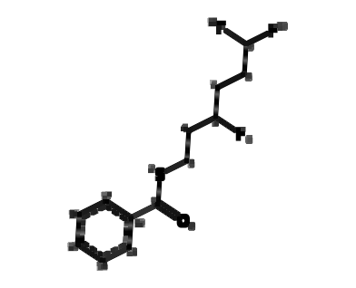 O=C(SCCC(F)CCC(F)F)c1ccccc1